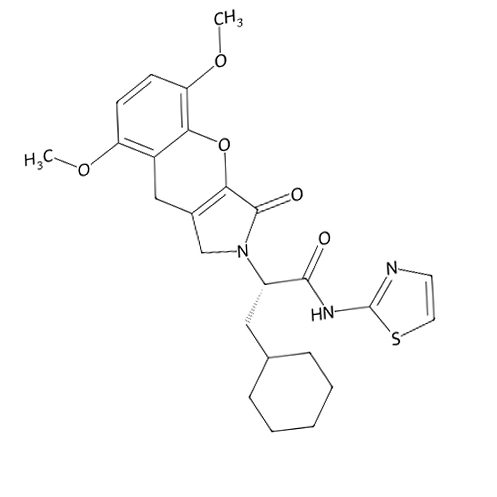 COc1ccc(OC)c2c1CC1=C(O2)C(=O)N([C@@H](CC2CCCCC2)C(=O)Nc2nccs2)C1